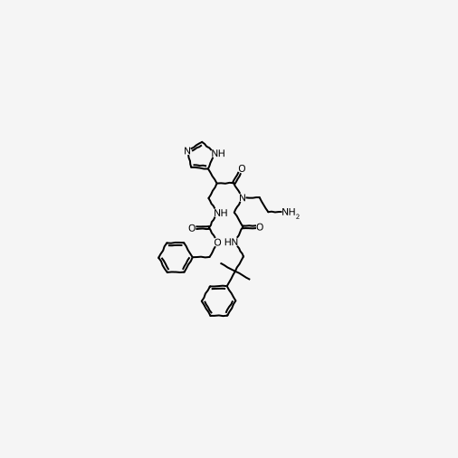 CC(C)(CNC(=O)CN(CCN)C(=O)C(CNC(=O)OCc1ccccc1)c1cnc[nH]1)c1ccccc1